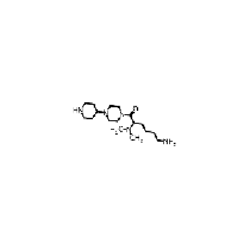 CN(C)C(CCCCN)C(=O)N1CCN(C2CCNCC2)CC1